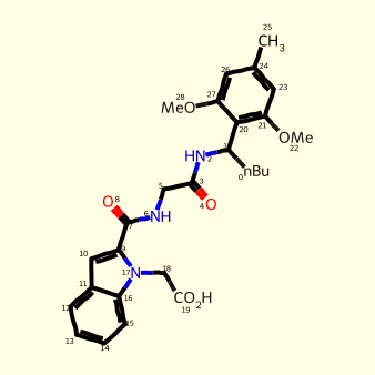 CCCCC(NC(=O)CNC(=O)c1cc2ccccc2n1CC(=O)O)c1c(OC)cc(C)cc1OC